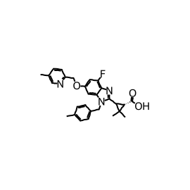 Cc1ccc(Cn2c(C3[C@H](C(=O)O)C3(C)C)nc3c(F)cc(OCc4ccc(C)cn4)cc32)cc1